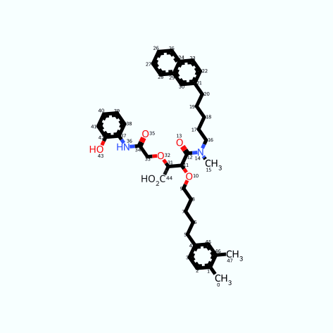 Cc1ccc(CCCCCOC(C(=O)N(C)CCCCCc2ccc3ccccc3c2)C(OCC(=O)Nc2ccccc2O)C(=O)O)cc1C